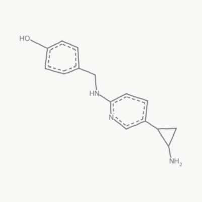 NC1CC1c1ccc(NCc2ccc(O)cc2)nc1